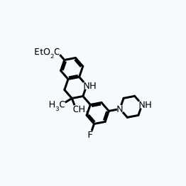 CCOC(=O)c1ccc2c(c1)CC(C)(C)C(c1cc(F)cc(N3CCNCC3)c1)N2